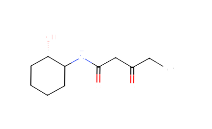 CCCCCCCCCC(=O)CC(=O)NC1CCCC[C@@H]1O